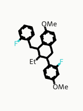 CCC1C(c2ccc(OC)cc2F)Cc2ccc(OC)cc2C1Cc1ccccc1F